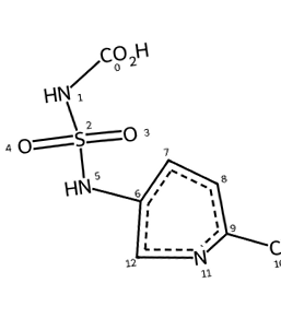 O=C(O)NS(=O)(=O)Nc1ccc(Cl)nc1